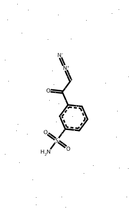 [N-]=[N+]=CC(=O)c1cccc(S(N)(=O)=O)c1